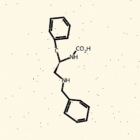 O=C(O)N[C@@H](CNCc1ccccc1)Cc1ccccc1